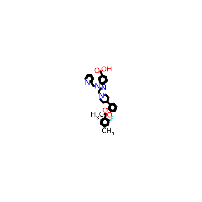 Cc1ccc(C2(C)Oc3cccc(C4CCN(Cc5nc6ccc(C(=O)O)cc6n5Cc5ccccn5)CC4)c3O2)c(F)c1